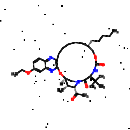 CCCCC[C@H]1CCCCCc2nc3ccc(OCC)cc3nc2O[C@H]2CN(C(=O)[C@H](C(C)(C)C)NC(=O)OC1)[C@H](C(C)=O)[C@@H]2C